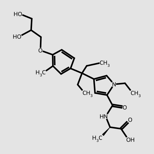 CCn1cc(C(CC)(CC)c2ccc(OCC(O)CO)c(C)c2)cc1C(=O)N[C@H](C)C(=O)O